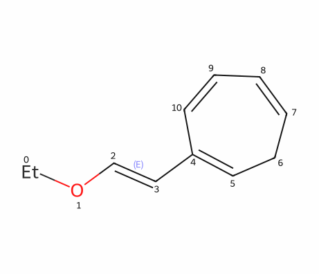 CCO/C=C/C1=CCC=CC=C1